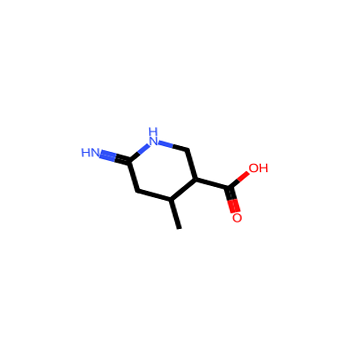 CC1CC(=N)NCC1C(=O)O